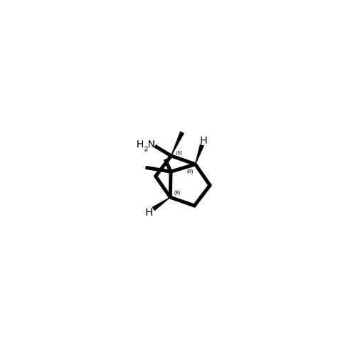 CC1(C)[C@@H]2CC[C@H]1[C@@](C)(N)C2